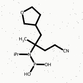 CC(C)N(P(O)O)C(C)(CCC#N)CC1CCOC1